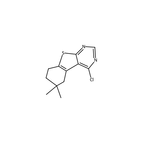 CC1(C)CCc2sc3ncnc(Cl)c3c2C1